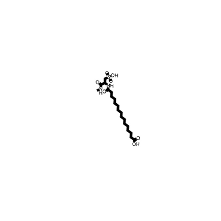 CNC(=O)C(CS(=O)(=O)O)NC(=O)CCCCCCCCCCCCCCC(=O)O